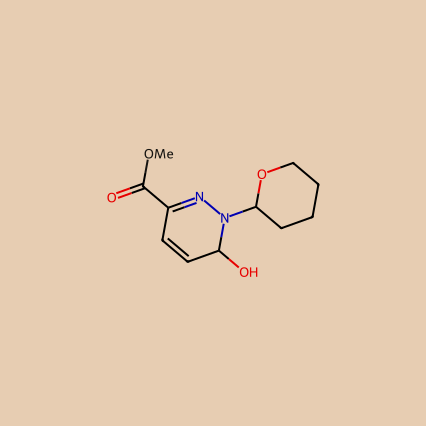 COC(=O)C1=NN(C2CCCCO2)C(O)C=C1